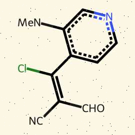 CNc1cnccc1/C(Cl)=C(/C#N)C=O